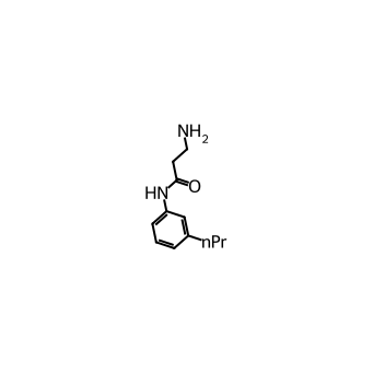 [CH2]CCc1cccc(NC(=O)CCN)c1